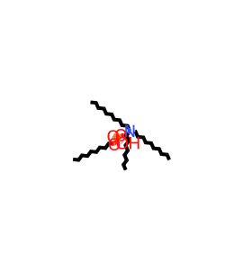 CCCCCCCCCCN(CCCCCCCCCC)C(CCCCCCC)OP(=O)(O)OCCCCCCCCC